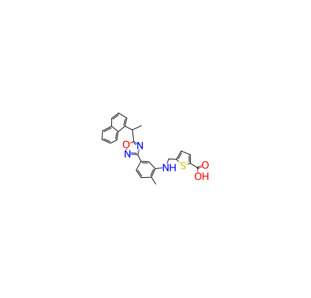 Cc1ccc(-c2noc(C(C)c3cccc4ccccc34)n2)cc1NCc1ccc(C(=O)O)s1